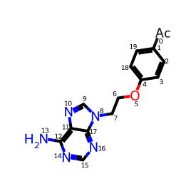 CC(=O)c1ccc(OCCn2cnc3c(N)ncnc32)cc1